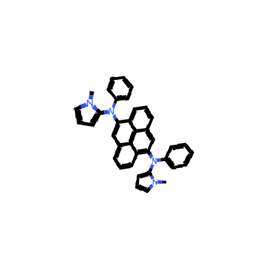 Cn1cccc1N(c1ccccc1)c1cc2cccc3c(N(c4ccccc4)c4cccn4C)cc4cccc1c4c23